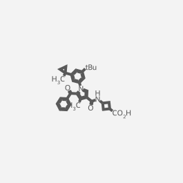 Cc1c(C(=O)NC2CC(C(=O)O)C2)cn(-c2cc(C(C)(C)C)cc(C3(C)CC3)c2)c1C(=O)c1ccccc1